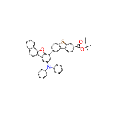 CC1(C)OB(c2ccc3c(c2)sc2ccc(-c4cc(N(c5ccccc5)c5ccccc5)cc5c4oc4c6ccccc6ccc54)cc23)OC1(C)C